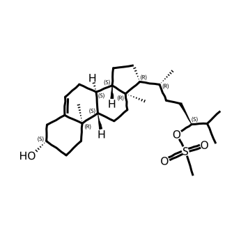 CC(C)[C@H](CC[C@@H](C)[C@H]1CC[C@H]2[C@@H]3CC=C4C[C@@H](O)CC[C@]4(C)[C@H]3CC[C@]12C)OS(C)(=O)=O